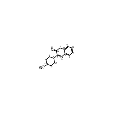 CC(C)(C)N1CCC(C2=Nc3ccccc3CC2=O)CC1